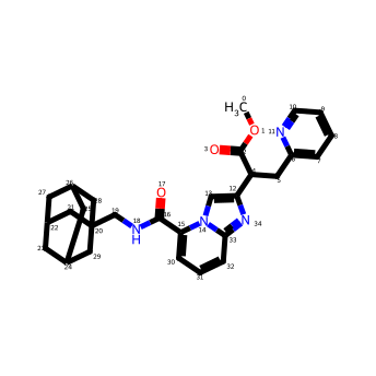 COC(=O)C(Cc1ccccn1)c1cn2c(C(=O)NCC34CC5CC(CC(C5)C3)C4)cccc2n1